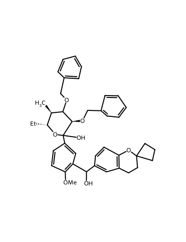 CC[C@H]1OC(O)(c2ccc(OC)c(C(O)c3ccc4c(c3)CCC3(CCC3)O4)c2)[C@H](OCc2ccccc2)C(OCc2ccccc2)[C@@H]1C